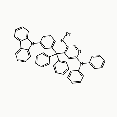 CC(C)N1c2ccc(-n3c4ccccc4c4ccccc43)cc2C(c2ccccc2)(c2ccccc2)c2cc(N(c3ccccc3)c3ccccc3)ncc21